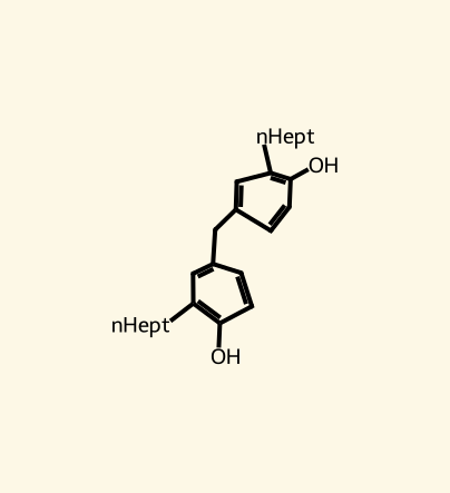 CCCCCCCc1cc(Cc2ccc(O)c(CCCCCCC)c2)ccc1O